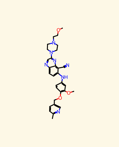 COCCN1CCN(c2cnc3ccc(Nc4ccc(OCc5ccc(C)nc5)c(OC)c4)c(C#N)c3n2)CC1